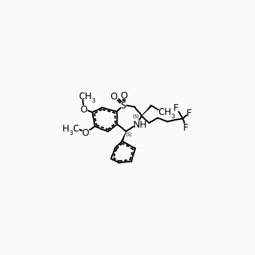 CC[C@]1(CCCC(F)(F)F)CS(=O)(=O)c2cc(OC)c(OC)cc2[C@H](c2ccccc2)N1